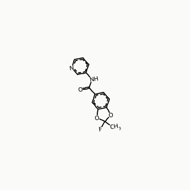 CC1(F)Oc2ccc(C(=O)Nc3cccnc3)cc2O1